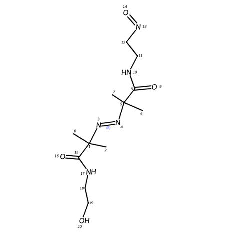 CC(C)(/N=N/C(C)(C)C(=O)NCCN=O)C(=O)NCCO